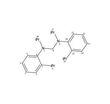 CC(C)c1ccccc1N(CN(c1ccccc1C(C)C)C(C)C)C(C)C